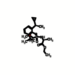 CCOC(=O)[C@H](C)NP(=O)(COC)Oc1c(C(C)C)cccc1[C@H](C)C1CC1